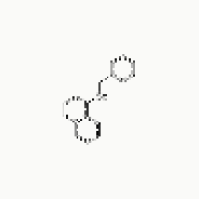 c1ccc(C[Se]c2cccc3ccccc23)cc1